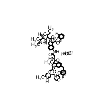 CC[C@H](C)[C@H](NC(=O)C(C)NC)C(=O)N1Cc2ccc(NC(=O)CNC(=O)C3(C)CN(C(=O)CN4C[C@@H](C)NC[C@@H]4CN4CCOCC4C)c4cc(Cc5ccc(F)cc5)ccc43)cc2C1C(=O)Nc1c(F)cccc1F.Cl.Cl.Cl